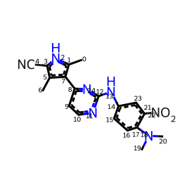 Cc1[nH]c(C#N)c(C)c1-c1ccnc(Nc2ccc(N(C)C)c([N+](=O)[O-])c2)n1